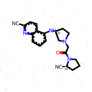 N#Cc1ccc2c(N[C@H]3CCN(CC(=O)N4CCC[C@H]4C#N)C3)cccc2n1